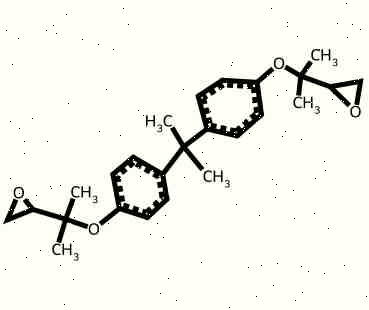 CC(C)(c1ccc(OC(C)(C)C2CO2)cc1)c1ccc(OC(C)(C)C2CO2)cc1